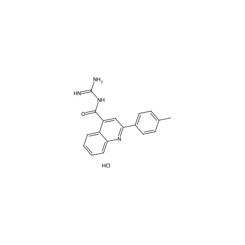 Cc1ccc(-c2cc(C(=O)NC(=N)N)c3ccccc3n2)cc1.Cl